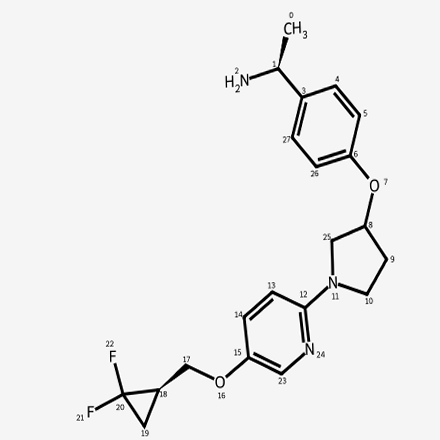 C[C@H](N)c1ccc(OC2CCN(c3ccc(OC[C@H]4CC4(F)F)cn3)C2)cc1